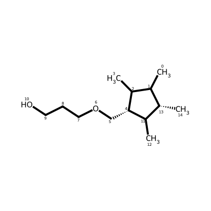 CC1C(C)[C@@H](COCCCO)C(C)[C@H]1C